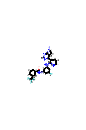 O=C(Nc1cc(F)cc(Nc2ncccc2-c2ncnc3[nH]ccc23)c1)c1cccc(C(F)(F)F)c1